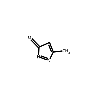 CC1=CC(=O)N=N1